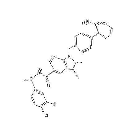 Cc1c(C)n(Cc2ccc(-c3ccccc3N)cc2)c2ccc(C(=O)N[C@@H](C)c3ccc(Cl)c(Cl)c3)cc12